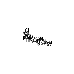 CCNc1ccc2c(=O)n(-c3ccc(NC(=O)NS(=O)(=O)C4=CCC(Cl)S4)cc3)c(C)nc2c1